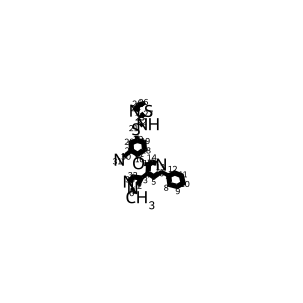 Cn1cc(-c2cc(-c3ccccc3)ncc2Oc2ccc(SNc3nccs3)cc2C#N)cn1